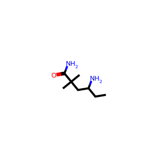 CCC(N)CC(C)(C)C(N)=O